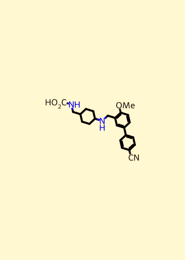 COc1ccc(-c2ccc(C#N)cc2)cc1CNC1CCC(CNC(=O)O)CC1